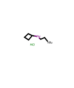 CCCCCCPC1CCC1.Cl